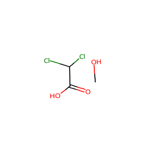 CO.O=C(O)C(Cl)Cl